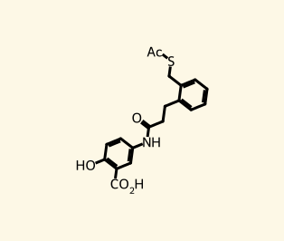 CC(=O)SCc1ccccc1CCC(=O)Nc1ccc(O)c(C(=O)O)c1